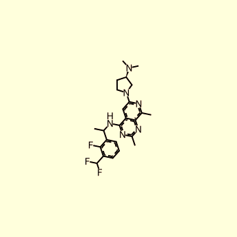 Cc1nc(NC(C)c2cccc(C(F)F)c2F)c2cc(N3CC[C@@H](N(C)C)C3)nc(C)c2n1